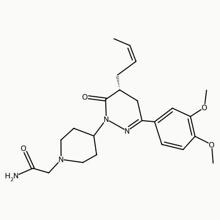 C/C=C\C[C@@H]1CC(c2ccc(OC)c(OC)c2)=NN(C2CCN(CC(N)=O)CC2)C1=O